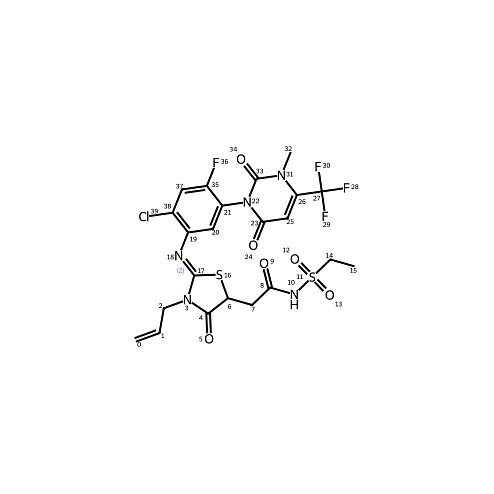 C=CCN1C(=O)C(CC(=O)NS(=O)(=O)CC)S/C1=N\c1cc(-n2c(=O)cc(C(F)(F)F)n(C)c2=O)c(F)cc1Cl